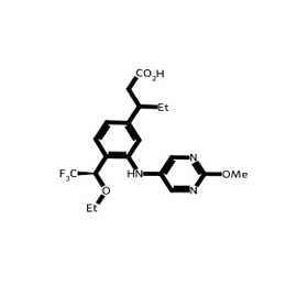 CCO[C@H](c1ccc(C(CC)CC(=O)O)cc1Nc1cnc(OC)nc1)C(F)(F)F